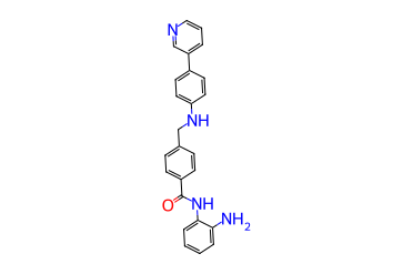 Nc1ccccc1NC(=O)c1ccc(CNc2ccc(-c3cccnc3)cc2)cc1